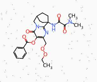 CCOOCc1nc2n(c(=O)c1OC(=O)c1ccccc1)CC1CCC2(NC(=O)C(=O)N(C)C)CC1